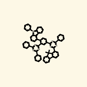 CC1(C)c2ccccc2-c2cccc(-c3nc(-c4ccccc4)nc(-c4ccc(-c5cccc6c5c5ccccc5n6-c5ccccc5)c(-c5nc(-c6ccccc6)nc(-c6ccccc6)n5)c4)n3)c21